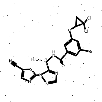 C[C@H](NC(=O)c1cc(Br)cc(OC2CC2(Cl)Cl)c1)c1ncnn1-c1ncc(C#N)s1